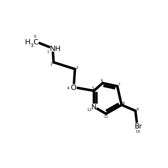 CNCCOc1ccc(CBr)cn1